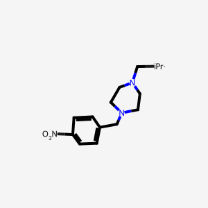 C[C](C)CN1CCN(Cc2ccc([N+](=O)[O-])cc2)CC1